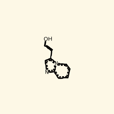 OC=Cc1cnc2ccccn12